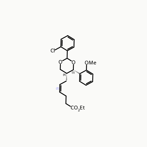 CCOC(=O)CC/C=C\C[C@@H]1COC(c2ccccc2Cl)O[C@@H]1c1ccccc1OC